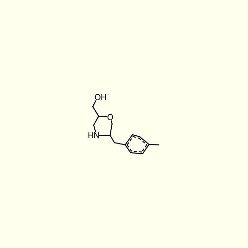 Cc1ccc(CC2COC(CO)CN2)cc1